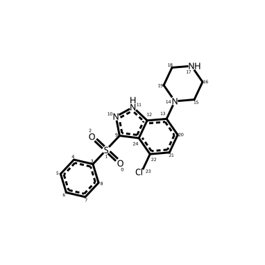 O=S(=O)(c1ccccc1)c1n[nH]c2c(N3CCNCC3)ccc(Cl)c12